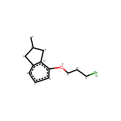 CC1Cc2cccc(OCCCBr)c2C1